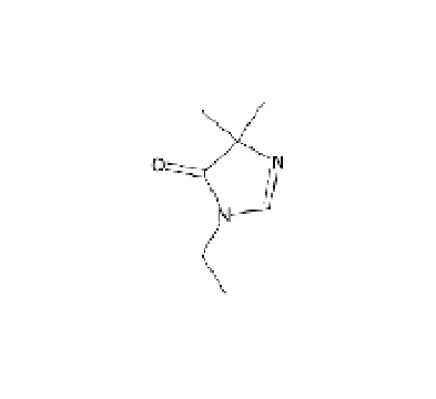 CCN1C=NC(C)(C)C1=O